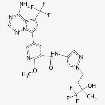 COc1ncc(-c2cc(C(F)(F)F)c3c(N)ncnn23)cc1C(=O)Nc1cnn(CCC(C)(O)C(F)(F)F)c1